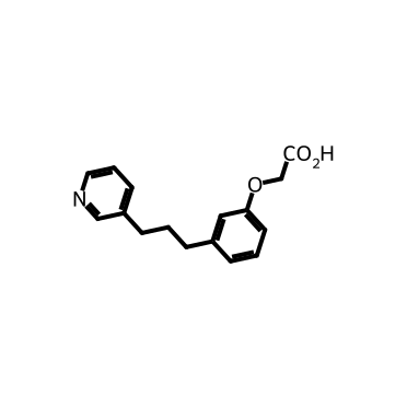 O=C(O)COc1cccc(CCCc2cccnc2)c1